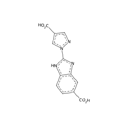 O=C(O)c1ccc2[nH]c(-n3cc(C(=O)O)cn3)nc2c1